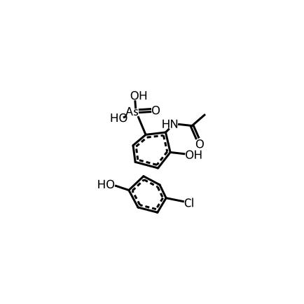 CC(=O)Nc1c(O)cccc1[As](=O)(O)O.Oc1ccc(Cl)cc1